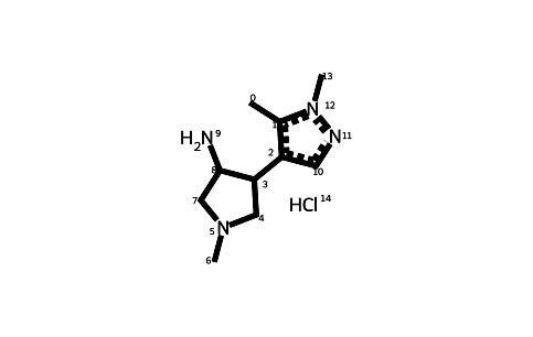 Cc1c(C2CN(C)CC2N)cnn1C.Cl